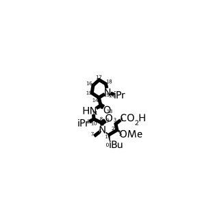 CC[C@H](C)[C@@H]([C@@H](CC(=O)O)OC)N(C)C(=O)C(NC(=O)C1CCCCN1C(C)C)C(C)C